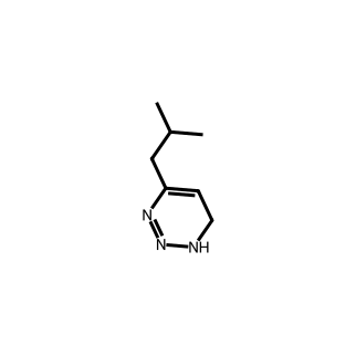 CC(C)CC1=CCNN=N1